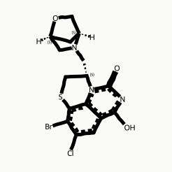 O=c1nc(O)c2cc(Cl)c(Br)c3c2n1[C@@H](CN1C[C@@H]2C[C@H]1CO2)CS3